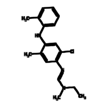 CCN(C)C=Nc1cc(C)c(Nc2ccccc2C)cc1Cl